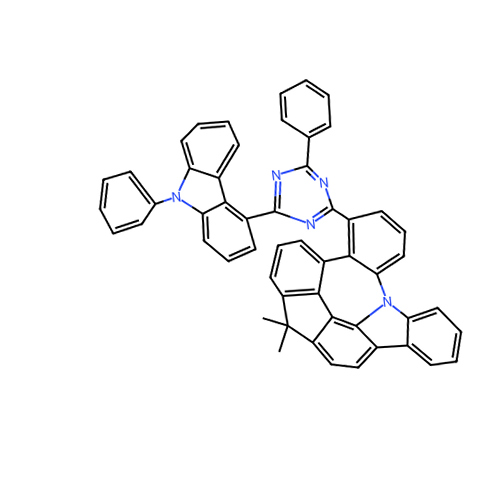 CC1(C)c2cccc3c2-c2c1ccc1c4ccccc4n(c21)-c1cccc(-c2nc(-c4ccccc4)nc(-c4cccc5c4c4ccccc4n5-c4ccccc4)n2)c1-3